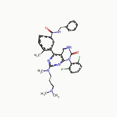 Cc1ccc(C(=O)NCc2ccccc2)cc1-c1nc(N(C)CCCN(C)C)nc2c1CNC(=O)N2c1c(F)cccc1F